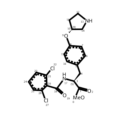 COC(=O)[C@H](Cc1ccc(O[C@@H]2CCNC2)cc1)NC(=O)c1c(Cl)cccc1Cl